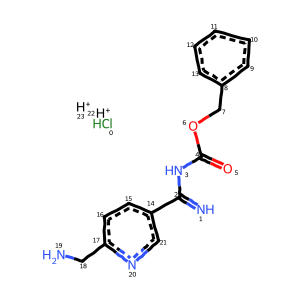 Cl.N=C(NC(=O)OCc1ccccc1)c1ccc(CN)nc1.[H+].[H+]